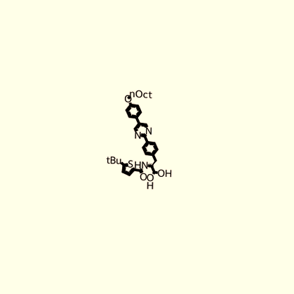 CCCCCCCCOc1ccc(-c2cnc(-c3ccc(C[C@H](NC(=O)c4ccc(C(C)(C)C)s4)C(O)O)cc3)nc2)cc1